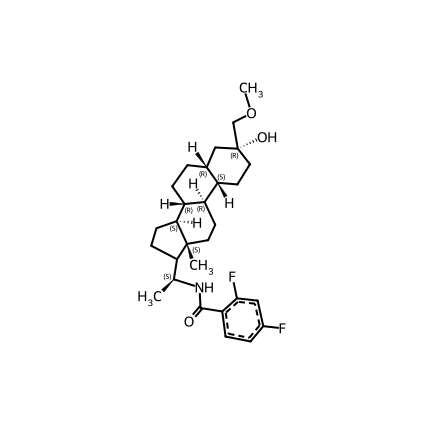 COC[C@@]1(O)CC[C@H]2[C@H](CC[C@@H]3[C@@H]2CC[C@]2(C)C([C@H](C)NC(=O)c4ccc(F)cc4F)CC[C@@H]32)C1